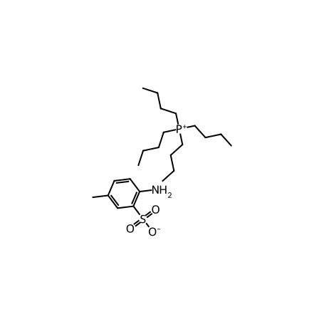 CCCC[P+](CCCC)(CCCC)CCCC.Cc1ccc(N)c(S(=O)(=O)[O-])c1